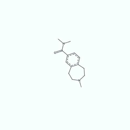 CN1CCc2ccc(C(=O)N(C)C)cc2CC1